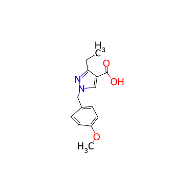 CCc1nn(Cc2ccc(OC)cc2)cc1C(=O)O